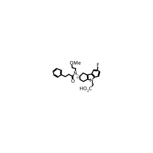 COCCN(C(=O)CCc1ccccc1)[C@H]1CCc2c(c3cc(F)ccc3n2CC(=O)O)C1